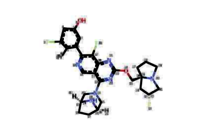 CC(C)c1c(F)cc(O)cc1-c1ncc2c(N3C[C@H]4CC[C@@H](C3)N4)nc(OC[C@@]34CCCN3C[C@H](F)C4)nc2c1F